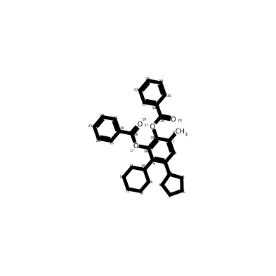 Cc1cc(C2CCCC2)c(C2CCCCC2)c(OC(=O)c2ccccc2)c1OC(=O)c1ccccc1